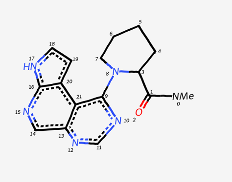 CNC(=O)C1[CH]CCCN1c1ncnc2cnc3[nH]ccc3c12